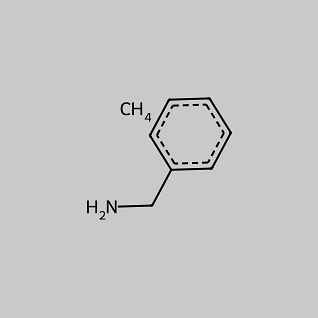 C.NCc1ccccc1